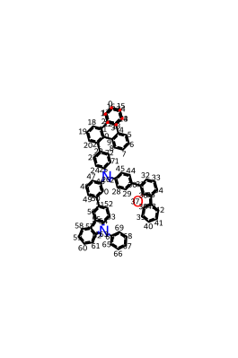 c1ccc(-c2ccccc2-c2c(-c3ccccc3)cccc2-c2ccc(N(c3ccc(-c4cccc5c4oc4ccccc45)cc3)c3cccc(-c4ccc5c(c4)c4ccccc4n5-c4ccccc4)c3)cc2)cc1